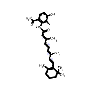 CC1=C(/C=C/C(C)=C/C=C/C(C)=C/C(=O)Nc2c(C(N)=O)ccc(O)c2F)C(C)(C)CCC1